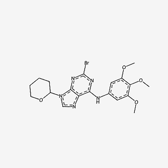 COc1cc(Nc2nc(Br)nc3c2ncn3C2CCCCO2)cc(OC)c1OC